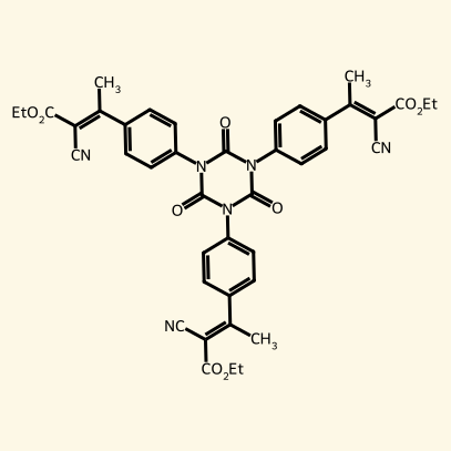 CCOC(=O)/C(C#N)=C(\C)c1ccc(-n2c(=O)n(-c3ccc(/C(C)=C(\C#N)C(=O)OCC)cc3)c(=O)n(-c3ccc(/C(C)=C(\C#N)C(=O)OCC)cc3)c2=O)cc1